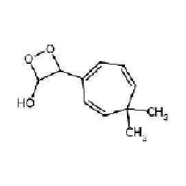 CC1(C)C=CC=C(C2OOC2O)C=C1